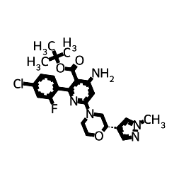 Cn1cc([C@H]2CN(c3cc(N)c(C(=O)OC(C)(C)C)c(-c4ccc(Cl)cc4F)n3)CCO2)cn1